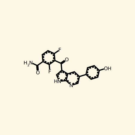 NC(=O)c1ccc(F)c(C(=O)c2c[nH]c3ncc(-c4ccc(O)cc4)cc23)c1F